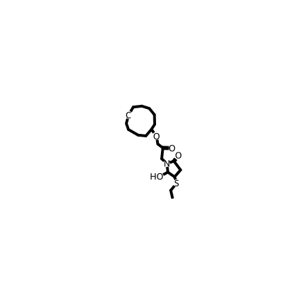 CCSC1CC(=O)N(CC(=O)COC2CCCCCCCCCC2)C1O